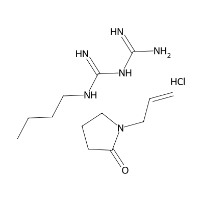 C=CCN1CCCC1=O.CCCCNC(=N)NC(=N)N.Cl